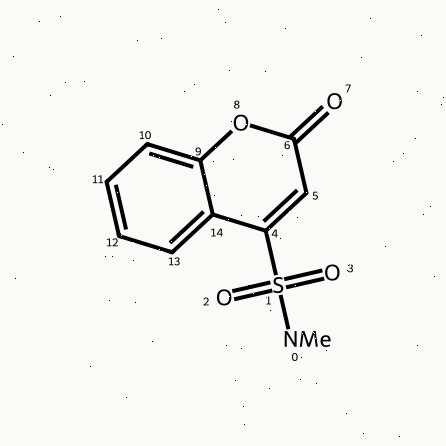 CNS(=O)(=O)c1cc(=O)oc2ccccc12